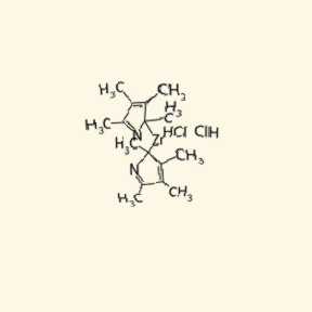 CC1=N[C](C)([Zr][C]2(C)N=C(C)C(C)=C2C)C(C)=C1C.Cl.Cl